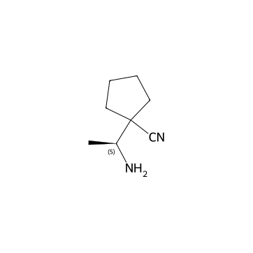 C[C@H](N)C1(C#N)CCCC1